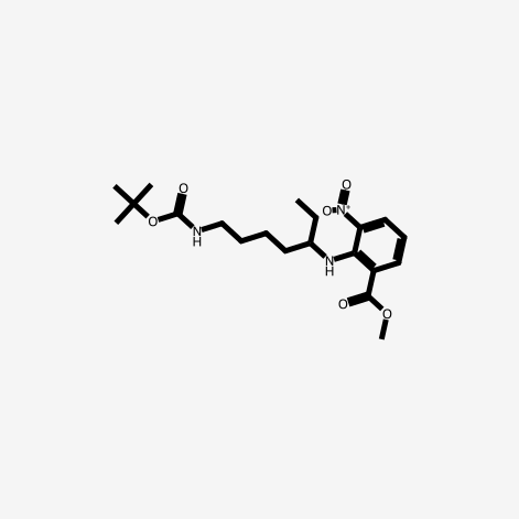 CCC(CCCCNC(=O)OC(C)(C)C)Nc1c(C(=O)OC)cccc1[N+](=O)[O-]